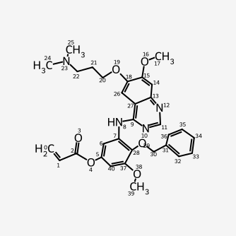 C=CC(=O)Oc1cc(Nc2ncnc3cc(OC)c(OCCCN(C)C)cc23)c(OCc2ccccc2)c(OC)c1